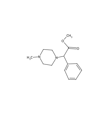 COC(=O)C(c1ccccc1)N1CCN(C)CC1